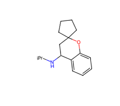 CC(C)NC1CC2(CCCC2)Oc2ccccc21